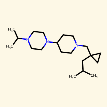 CC(C)CC1(CN2CCC(N3CCN(C(C)C)CC3)CC2)CC1